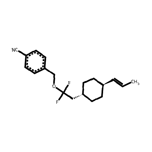 CC=C[C@H]1CC[C@H](CC(F)(F)OCc2ccc(C#N)cc2)CC1